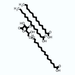 CCCCCCCCCCCCCCCC(=O)O.CCCCCCCCCCCCCCCC(=O)O.CCCCCCCCCCCCCCCC(=O)O.O=C1O[C@H]([C@@H](O)CO)C(O)=C1O